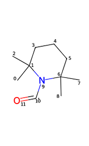 CC1(C)CCCC(C)(C)N1[C]=O